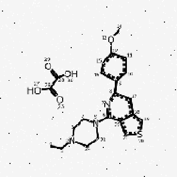 CCN1CCN(c2nc(-c3ccc(OC)cc3)cc3cscc23)CC1.O=C(O)C(=O)O